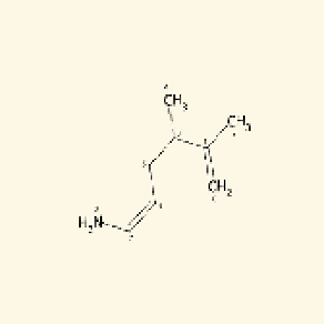 C=C(C)[C@@H](C)C/C=C\N